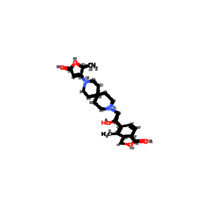 Cc1c(C(O)CN2CCC3(CC2)CCN(C2=CC(=O)OC2C)CC3)ccc2c1COC2=O